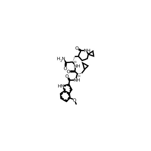 COc1cccc2[nH]c(C(=O)N[C@@H](CC3CC3)C(=O)N[C@@H](CC3CCC4(CC4)NC3=O)C(N)=O)cc12